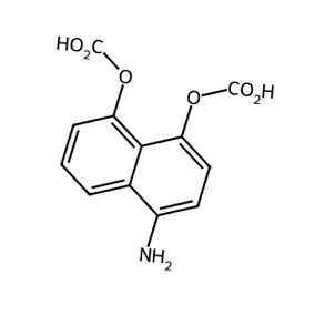 Nc1ccc(OC(=O)O)c2c(OC(=O)O)cccc12